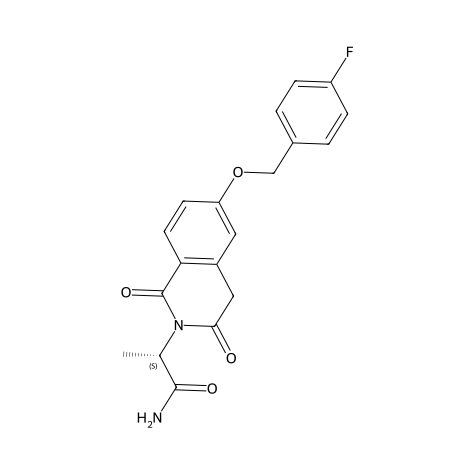 C[C@@H](C(N)=O)N1C(=O)Cc2cc(OCc3ccc(F)cc3)ccc2C1=O